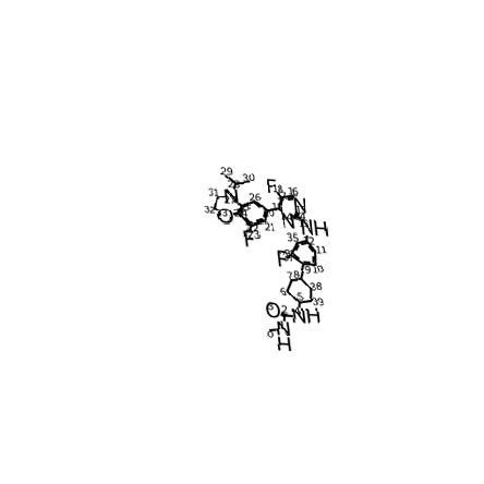 CNC(=O)NC1CCC(c2ccc(Nc3ncc(F)c(-c4cc(F)c5c(c4)N(C(C)C)CCO5)n3)cc2F)CC1